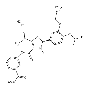 COC(=O)c1cccc(OC(=O)C2=C([C@H](C)N)O[C@@H](c3ccc(OC(F)F)c(OCC4CC4)c3)N2C)n1.Cl.Cl